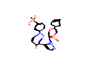 CS(=O)(=O)c1cccc(-n2ccc(=O)c(-c3ccnn3C3=COC(C4=CC=CCC4)=CO3)n2)c1